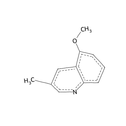 COc1cccc2ncc(C)cc12